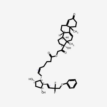 CC12CCC(=O)C=C1CC[C@@H]1C2=CCC2(C)[C@H]1CC[C@]2(O)C(=O)COC(=O)CCC/C=C\C[C@@H]1[C@@H](/C=C/C(F)(F)COc2ccccc2)[C@H](O)C[C@@H]1O